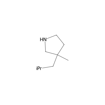 CC(C)CC1(C)CCNC1